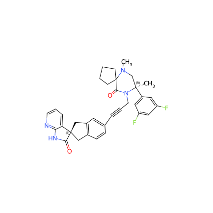 CN1C[C@@](C)(c2cc(F)cc(F)c2)N(CC#Cc2ccc3c(c2)C[C@@]2(C3)C(=O)Nc3ncccc32)C(=O)C12CCCC2